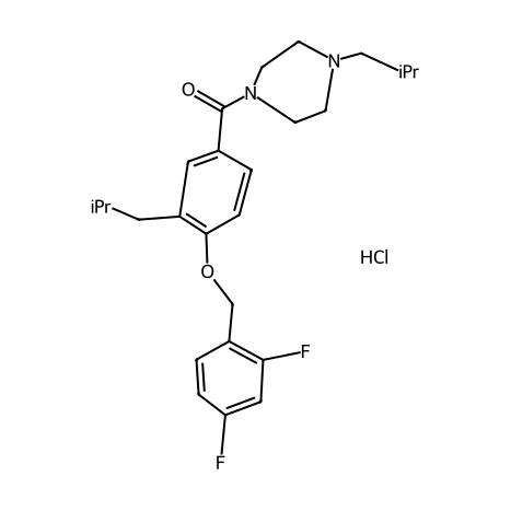 CC(C)Cc1cc(C(=O)N2CCN(CC(C)C)CC2)ccc1OCc1ccc(F)cc1F.Cl